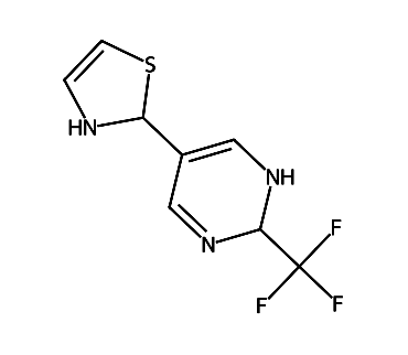 FC(F)(F)C1N=CC(C2NC=CS2)=CN1